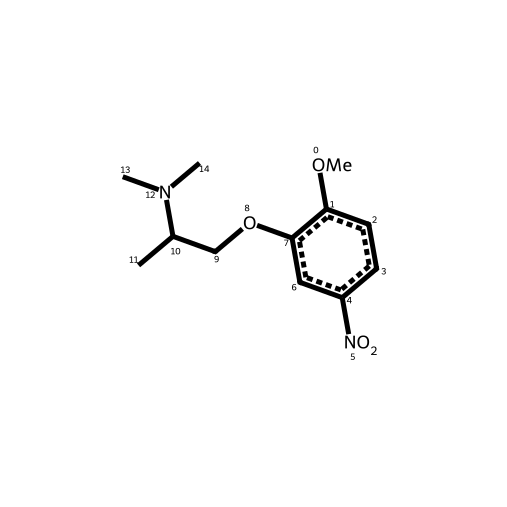 COc1ccc([N+](=O)[O-])cc1OCC(C)N(C)C